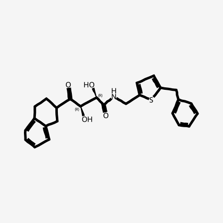 O=C(NCc1ccc(Cc2ccccc2)s1)[C@H](O)[C@@H](O)C(=O)C1CCc2ccccc2C1